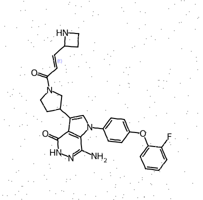 Nc1n[nH]c(=O)c2c(C3CCN(C(=O)/C=C/C4CCN4)C3)cn(-c3ccc(Oc4ccccc4F)cc3)c12